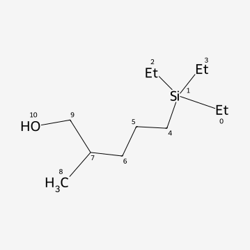 CC[Si](CC)(CC)CCCC(C)CO